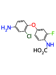 Nc1ccc(Oc2ccc(NC(=O)O)c(F)c2)c(Cl)c1